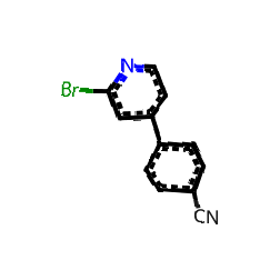 N#Cc1ccc(-c2ccnc(Br)c2)cc1